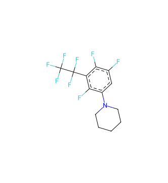 Fc1cc(N2CCCCC2)c(F)c(C(F)(F)C(F)(F)F)c1F